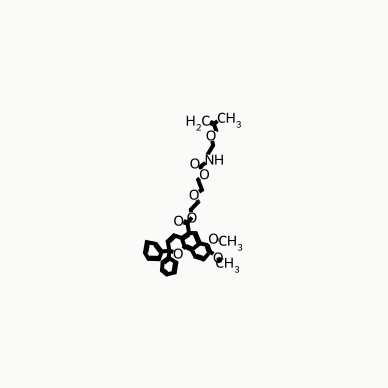 C=C(C)COCCNC(=O)OCCOCCOC(=O)c1cc2c(OC)c(OC)ccc2c2c1C=CC(c1ccccc1)(c1ccccc1)O2